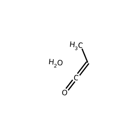 CC=C=O.O